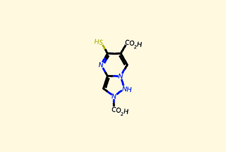 O=C(O)C1=CN2NN(C(=O)O)C=C2N=C1S